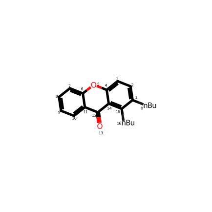 CCCCc1ccc2oc3ccccc3c(=O)c2c1CCCC